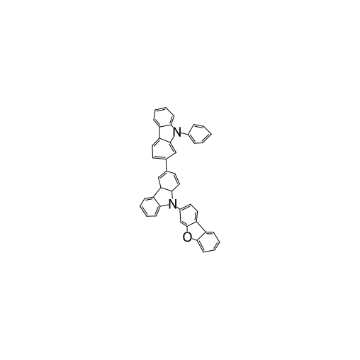 C1=CC2C(C=C1c1ccc3c4ccccc4n(-c4ccccc4)c3c1)c1ccccc1N2c1ccc2c(c1)oc1ccccc12